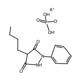 CCCCC1C(=O)NN(c2ccccc2)C1=O.O=P([O-])(O)O.[K+]